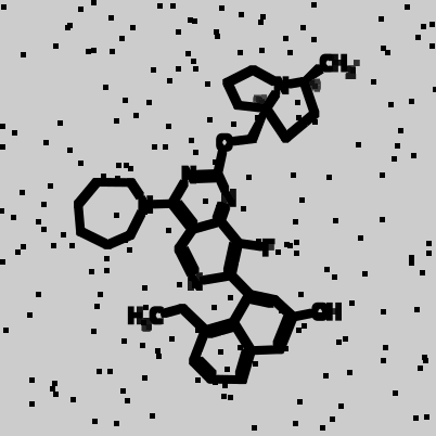 [CH2][C@H]1CC[C@]2(COc3nc(N4CCCCCC4)c4cnc(-c5cc(O)cc6cccc(CC)c56)c(F)c4n3)CCCN12